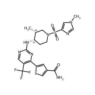 C[C@@H]1CN(S(=O)(=O)c2cn(C)cn2)CC[C@@H]1Nc1ncc(C(F)(F)F)c(-c2cc(C(N)=O)cs2)n1